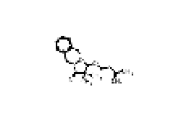 C=C(C)CCOC1ON(Cc2ccccc2Cl)C(=O)C1(C)C